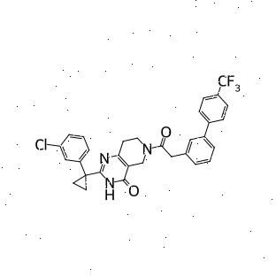 O=C(Cc1cccc(-c2ccc(C(F)(F)F)cc2)c1)N1CCc2nc(C3(c4cccc(Cl)c4)CC3)[nH]c(=O)c2C1